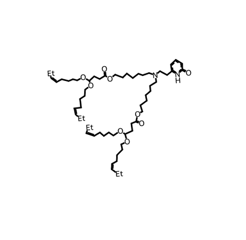 CC/C=C\CCCCOC(CCC(=O)OCCCCCCCN(CCCCCCCOC(=O)CCC(OCCCC/C=C\CC)OCCCC/C=C\CC)CCc1cccc(=O)[nH]1)OCCCC/C=C\CC